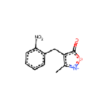 Cc1[nH]oc(=O)c1Cc1ccccc1[N+](=O)[O-]